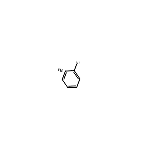 CCc1ccccc1.[Pb]